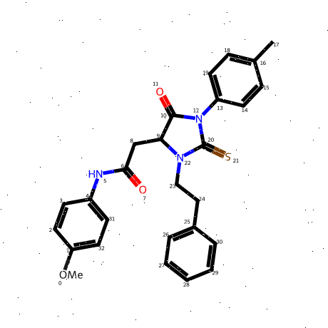 COc1ccc(NC(=O)CC2C(=O)N(c3ccc(C)cc3)C(=S)N2CCc2ccccc2)cc1